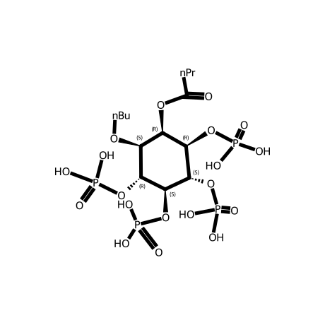 CCCCO[C@H]1[C@@H](OC(=O)CCC)[C@@H](OP(=O)(O)O)[C@H](OP(=O)(O)O)[C@@H](OP(=O)(O)O)[C@@H]1OP(=O)(O)O